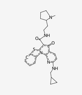 CN1CCCC1CCNC(=O)c1c(=O)c2ccc(NCC3CC3)nc2n2c1sc1ccccc12